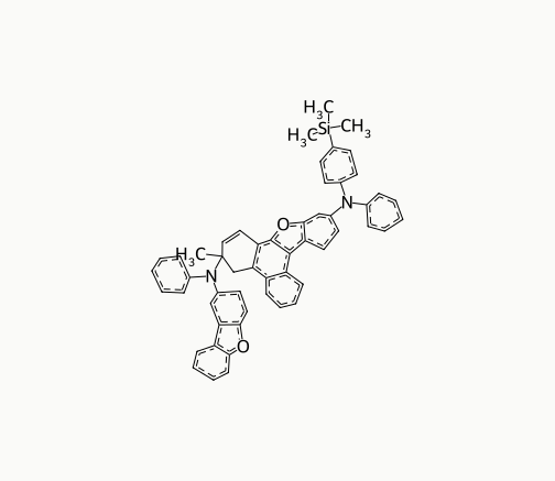 CC1(N(c2ccccc2)c2ccc3oc4ccccc4c3c2)C=Cc2c(c3ccccc3c3c2oc2cc(N(c4ccccc4)c4ccc([Si](C)(C)C)cc4)ccc23)C1